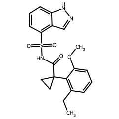 CCc1cccc(OC)c1C1(C(=O)NS(=O)(=O)c2cccc3[nH]ncc23)CC1